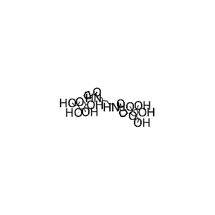 O=C(NCCCCCNC(=O)c1cccc([C@H]2O[C@H](CO)[C@@H](O)[C@H](O)[C@@H]2O)c1)c1cccc([C@H]2O[C@H](CO)[C@@H](O)[C@H](O)[C@@H]2O)c1